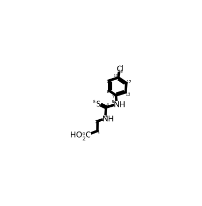 O=C(O)CCNC(=S)Nc1ccc(Cl)cc1